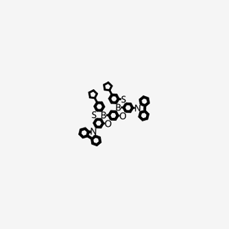 c1ccc2c(c1)c1ccccc1n2-c1cc2c3c(c1)Sc1cc(C4CCCC4)ccc1B3c1cc3c(cc1O2)Oc1cc(-n2c4ccccc4c4ccccc42)cc2c1B3c1ccc(C3CCCC3)cc1S2